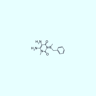 CB(Cc1ccccc1)n1c(=O)c(N)c(N)n(C)c1=O